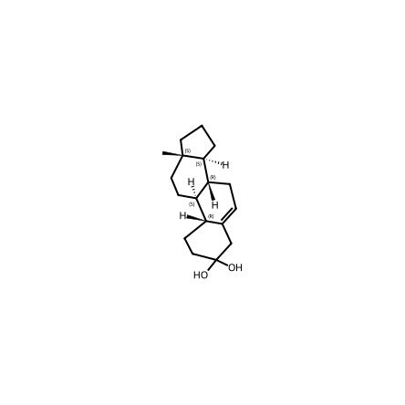 C[C@@]12CCC[C@H]1[C@@H]1CC=C3CC(O)(O)CC[C@@H]3[C@H]1CC2